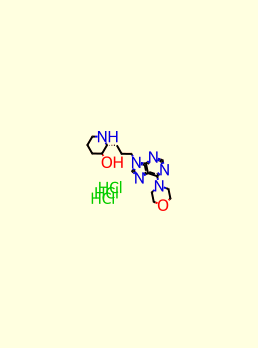 Cl.Cl.Cl.O[C@H]1CCCN[C@@H]1CCCn1cnc2c(N3CCOCC3)ncnc21